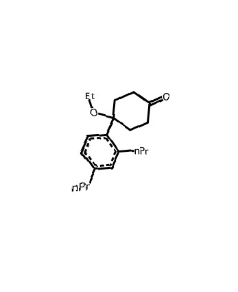 CCCc1ccc(C2(OCC)CCC(=O)CC2)c(CCC)c1